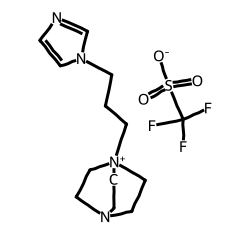 O=S(=O)([O-])C(F)(F)F.c1cn(CCC[N+]23CCN(CC2)CC3)cn1